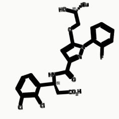 CC(C)(C)[C@@H](O)COc1cc(C(=O)N[C@@H](CC(=O)O)c2cccc(Cl)c2Cl)nn1-c1ccccc1F